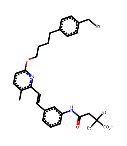 CCC(CC)(CC(=O)Nc1cccc(C=Cc2nc(OCCCCc3ccc(CC(C)C)cc3)ccc2C)c1)C(=O)O